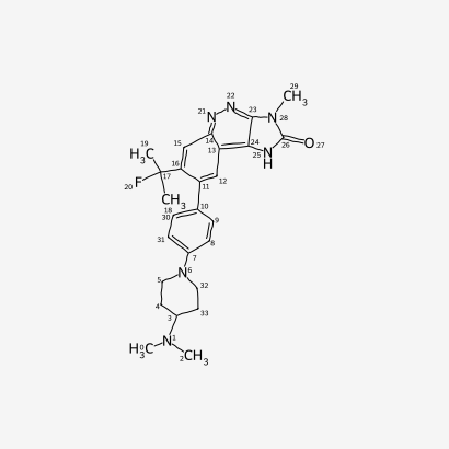 CN(C)C1CCN(c2ccc(-c3cc4c(cc3C(C)(C)F)nnc3c4[nH]c(=O)n3C)cc2)CC1